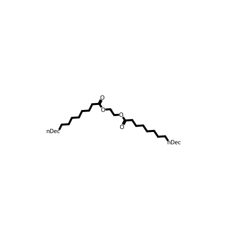 CCCCCCCCCCCCCCCCCC(=O)O[CH]COC(=O)CCCCCCCCCCCCCCCCC